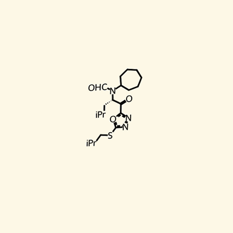 CC(C)CSc1nnc(C(=O)[C@H](CC(C)C)N(C=O)C2CCCCCC2)o1